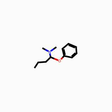 CCCC(Oc1cc[c]cc1)N(C)C